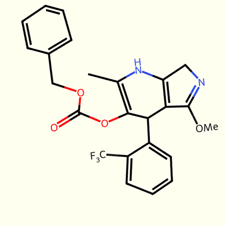 COC1=NCC2=C1C(c1ccccc1C(F)(F)F)C(OC(=O)OCc1ccccc1)=C(C)N2